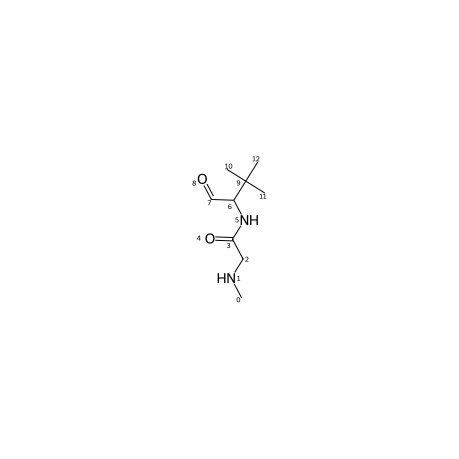 CNCC(=O)NC(C=O)C(C)(C)C